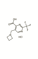 Cl.O=C(O)c1nc(C(F)(F)F)ncc1CN1CCC1